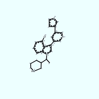 CC(C1CCCNC1)n1cc(-c2cncc(-c3ccsc3)c2)c2c(Cl)cccc21